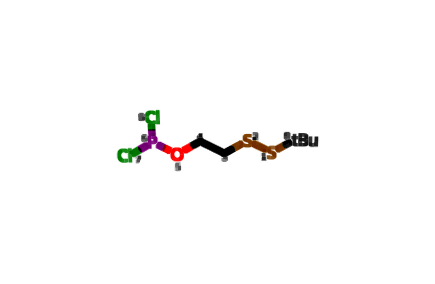 CC(C)(C)SSCCOP(Cl)Cl